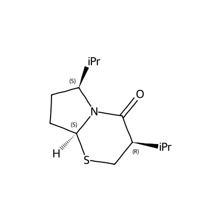 CC(C)[C@H]1CS[C@H]2CC[C@@H](C(C)C)N2C1=O